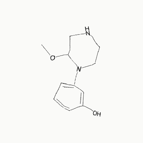 COC1CNCCN1c1cccc(O)c1